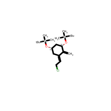 C=C1C(=CCCl)C[C@H](O[Si](C)(C)C(C)(C)C)C[C@@H]1O[Si](C)(C)C(C)(C)C